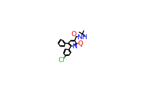 COc1nc(-c2ccc(Cl)cc2)c(-c2ccccc2)cc1C(=O)NC(C)(C)C